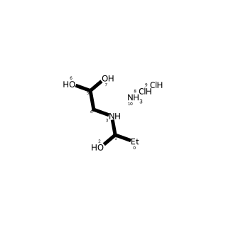 CCC(O)NCC(O)O.Cl.Cl.N